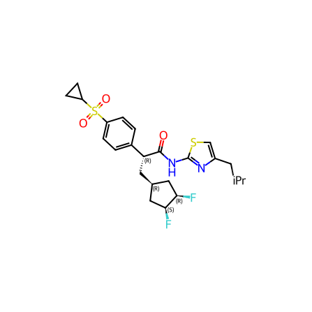 CC(C)Cc1csc(NC(=O)[C@H](C[C@H]2C[C@@H](F)[C@@H](F)C2)c2ccc(S(=O)(=O)C3CC3)cc2)n1